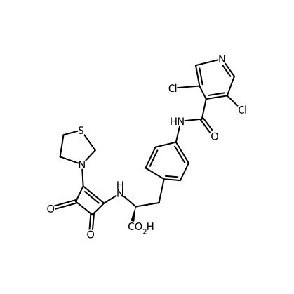 O=C(Nc1ccc(C[C@H](Nc2c(N3CCSC3)c(=O)c2=O)C(=O)O)cc1)c1c(Cl)cncc1Cl